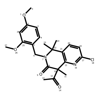 COc1ccc(CN2C(=O)C(C)(C(C)=O)c3nc(Cl)ccc3C2(C)C)c(OC)c1